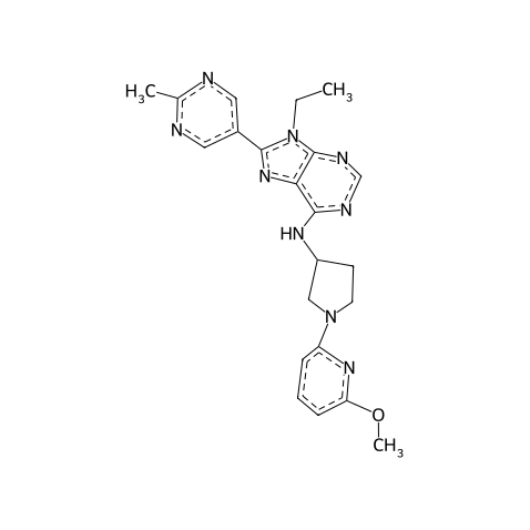 CCn1c(-c2cnc(C)nc2)nc2c(NC3CCN(c4cccc(OC)n4)C3)ncnc21